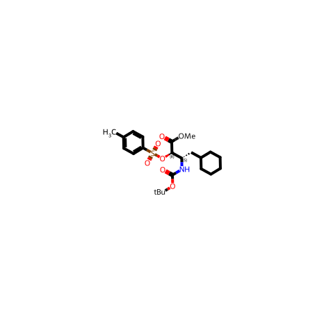 COC(=O)[C@H](OS(=O)(=O)c1ccc(C)cc1)[C@H](CC1CCCCC1)NC(=O)OC(C)(C)C